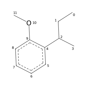 CCC(C)c1ccccc1OC